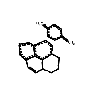 C1=CC2CCCc3ccc4cccc1c4c32.C=c1ccc(=C)cc1